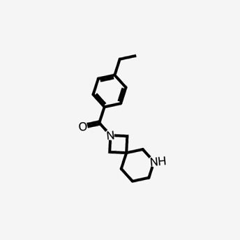 CCc1ccc(C(=O)N2CC3(CCCNC3)C2)cc1